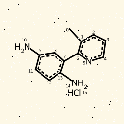 Cc1cccnc1-c1cc(N)ccc1N.Cl